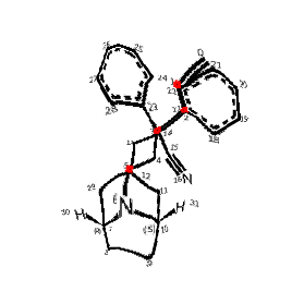 C=CCCCCN1[C@@H]2CC[C@H]1CC(CC(C#N)(c1ccccc1)c1ccccc1)C2